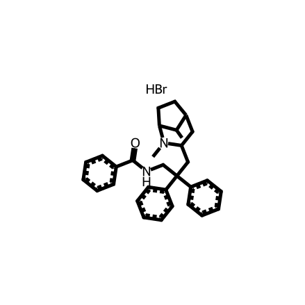 Br.CC1C2CCC1N(C)C(CC(CNC(=O)c1ccccc1)(c1ccccc1)c1ccccc1)C2